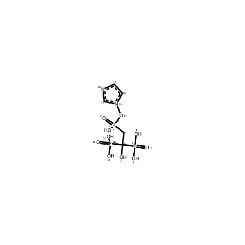 O=P(O)(CC(O)(P(=O)(O)O)P(=O)(O)O)On1ccnc1